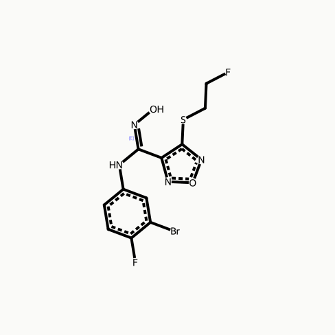 O/N=C(/Nc1ccc(F)c(Br)c1)c1nonc1SCCF